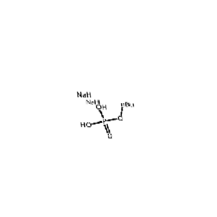 CCCCOP(=O)(O)O.[NaH].[NaH]